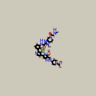 CNCC(=O)N1CCc2c(nc(C(=O)Nc3cccc(-c4nccc(-c5ccc(CNC6CCN(C(C)=O)CC6)c(OC)n5)c4Cl)c3Cl)n2C)C1